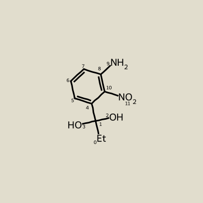 CCC(O)(O)c1cccc(N)c1[N+](=O)[O-]